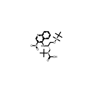 CC(C)(C)N(C[C@@H](CO[Si](C)(C)C(C)(C)C)Nc1c([N+](=O)[O-])cnc2ccccc12)C(=O)O